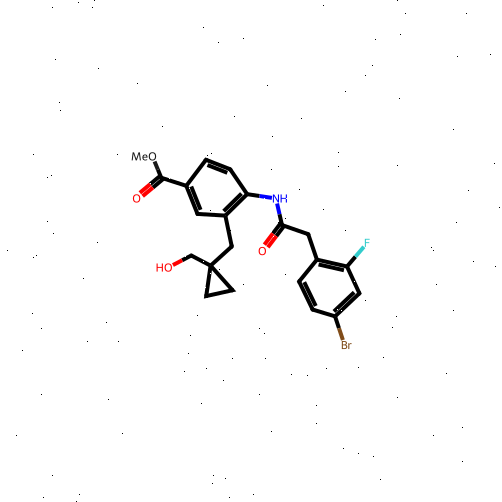 COC(=O)c1ccc(NC(=O)Cc2ccc(Br)cc2F)c(CC2(CO)CC2)c1